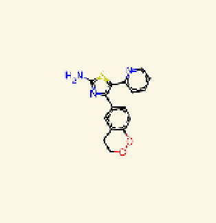 Nc1nc(-c2ccc3c(c2)CCOO3)c(-c2ccccn2)s1